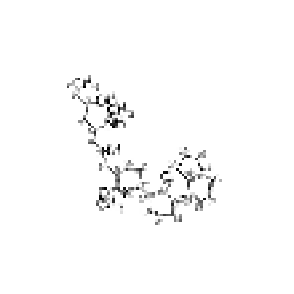 C=CC(O)CC(CNCc1ccc(-c2cccc(-c3cccc4c3CCC4)c2Cl)nc1OC)NC